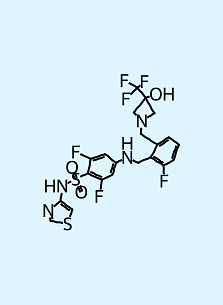 O=S(=O)(Nc1cscn1)c1c(F)cc(NCc2c(F)cccc2CN2CC(O)(C(F)(F)F)C2)cc1F